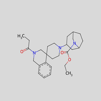 CCOC(=O)N1CC2CCC1CC(N1CCC3(CC1)CN(C(=O)CC)Cc1ccccc13)C2